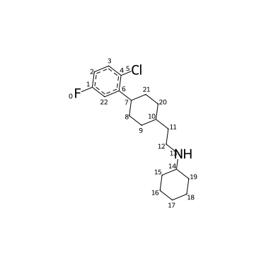 Fc1ccc(Cl)c(C2CCC(CCNC3CCCCC3)CC2)c1